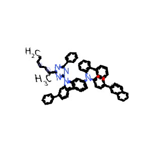 C=C/C=C\C=C(/C)c1nc(-c2ccccc2)nc(-n2c3cc(-c4ccccc4)ccc3c3ccc(N(c4ccc(-c5ccc6ccccc6c5)cc4)c4ccccc4-c4ccccc4)cc32)n1